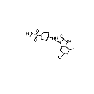 Cc1cc(Cl)cc2c1NC(=O)/C2=C\Nc1ccc(S(N)(=O)=O)cc1